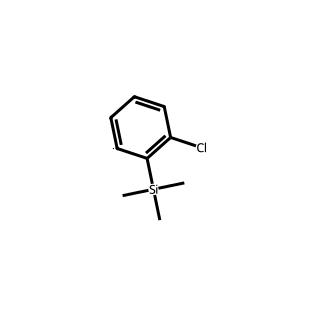 C[Si](C)(C)c1[c]cccc1Cl